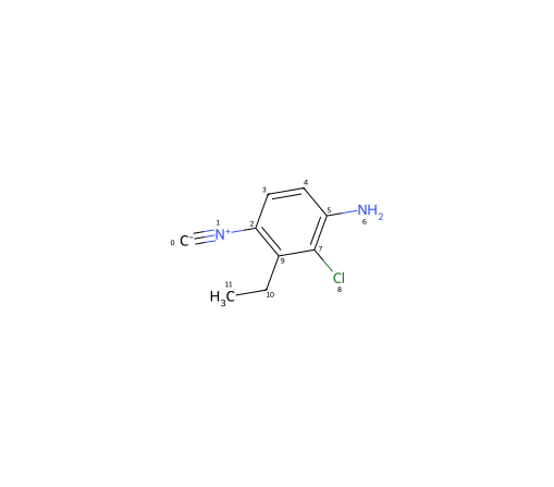 [C-]#[N+]c1ccc(N)c(Cl)c1CC